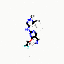 C=C(C)N(C)/N=C\CNc1ncc(/C=N\C)c(OCC(F)F)n1